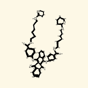 O=C(OCCCCCCOC1CCCCO1)c1ccc(Oc2c3c(c(Oc4ccc(C(=O)OCCCCCCOC5CCCCO5)cc4)c4ccccc24)C(=O)c2ccccc2C3=O)cc1